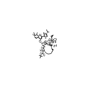 COc1ccc2c(O[C@@H]3C[C@H]4C(=O)N[C@]5(C(=O)NS(=O)(=O)C6CC6)C[C@H]5/C=C\CCCCC[C@H](NC(=O)OC(C)(C)C)C(=O)N4C3)cc(-c3nc(C(C)C)cs3)nc2c1C